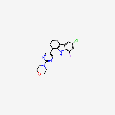 Clc1cc(I)c2[nH]c3c(c2c1)CCCC3c1cnc(N2CCOCC2)nc1